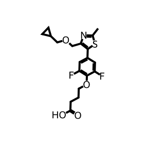 Cc1nc(COCC2CC2)c(-c2cc(F)c(OCCCC(=O)O)c(F)c2)s1